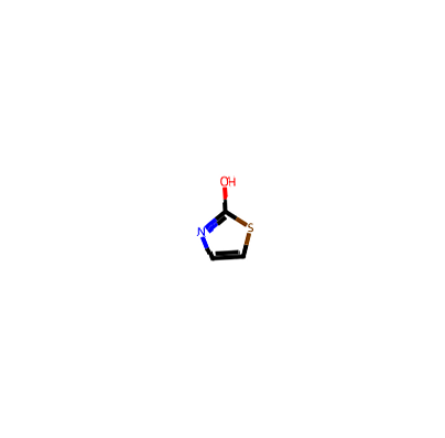 Oc1nccs1